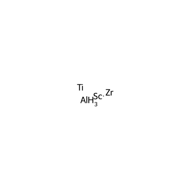 [AlH3].[Sc].[Ti].[Zr]